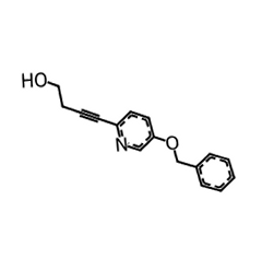 OCCC#Cc1ccc(OCc2ccccc2)cn1